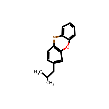 CC(C)Cc1ccc2c(c1)Oc1ccccc1S2